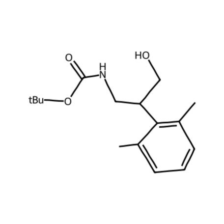 Cc1cccc(C)c1C(CO)CNC(=O)OC(C)(C)C